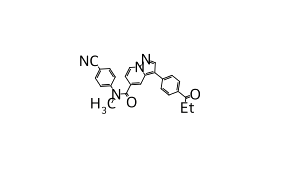 CCC(=O)c1ccc(-c2cnn3ccc(C(=O)N(C)c4ccc(C#N)cc4)cc23)cc1